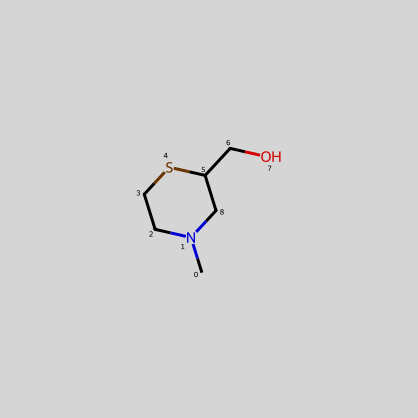 CN1CCSC(CO)C1